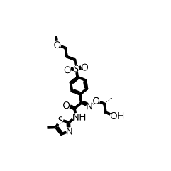 COCCCS(=O)(=O)c1ccc(/C(=N\O[C@H](C)CO)C(=O)Nc2ncc(C)s2)cc1